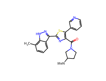 CNC1CCN(C(=O)c2nc(-c3n[nH]c4c(C)cccc34)sc2-c2cccnc2)C1